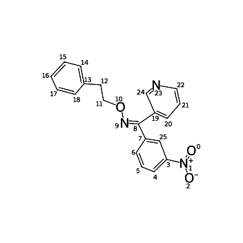 O=[N+]([O-])c1cccc(C(=NOCCc2ccccc2)c2cccnc2)c1